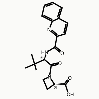 CC(C)(C)[C@@H](NC(=O)c1ccc2ccccc2n1)C(=O)N1CC[C@@H]1C(=O)O